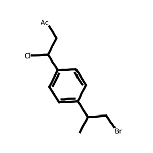 CC(=O)CC(Cl)c1ccc(C(C)CBr)cc1